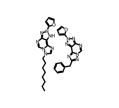 CCCCCCCCN1C=NC2=C3NN(c4ccco4)N=C3N=CN21.c1ccc(Cc2nc3c4nn(-c5ccco5)nc4ncn3n2)cc1